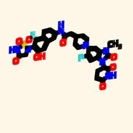 Cn1c(=O)n(C2CCC(=O)NC2=O)c2cc(F)c(N3CCC(CC(=O)Nc4ccc5c(F)c(N6CC(=O)NS6(=O)=O)c(O)cc5c4)CC3)cc21